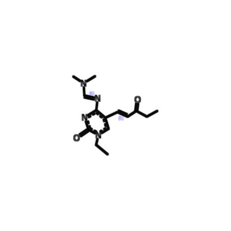 CCC(=O)/C=C/c1cn(CC)c(=O)nc1/N=C/N(C)C